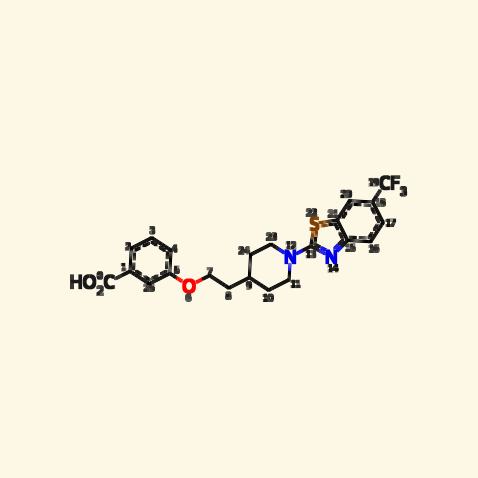 O=C(O)c1cccc(OCCC2CCN(c3nc4ccc(C(F)(F)F)cc4s3)CC2)c1